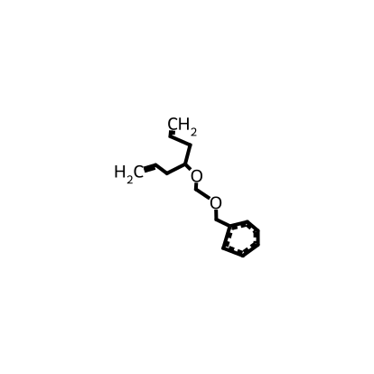 C=CCC(CC=C)OCOCc1ccccc1